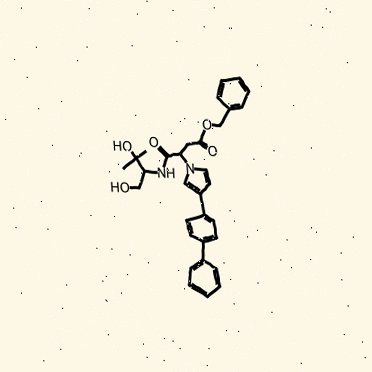 CC(C)(O)C(CO)NC(=O)C(CC(=O)OCc1ccccc1)n1ccc(-c2ccc(-c3ccccc3)cc2)c1